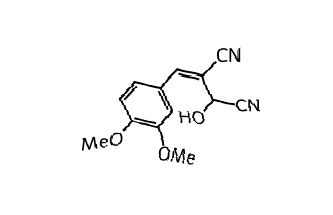 COc1ccc(C=C(C#N)C(O)C#N)cc1OC